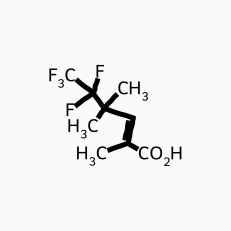 CC(=CC(C)(C)C(F)(F)C(F)(F)F)C(=O)O